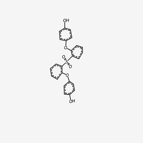 O=S(=O)(c1ccccc1Oc1ccc(O)cc1)c1ccccc1Oc1ccc(O)cc1